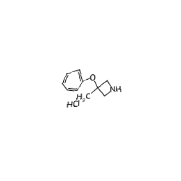 CC1(Oc2ccccc2)CNC1.Cl